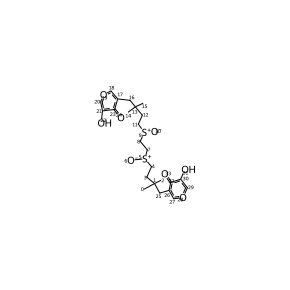 CC(C)(CC[S+]([O-])CC[S+]([O-])CCC(C)(C)Cc1cocc(O)c1=O)Cc1cocc(O)c1=O